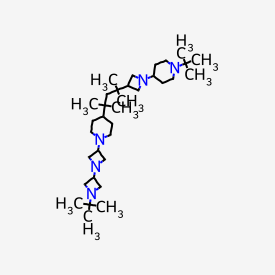 CC(C)(CC(C)(C)C1CN(C2CCN(C(C)(C)C)CC2)C1)C1CCN(C2CN(C3CN(C(C)(C)C)C3)C2)CC1